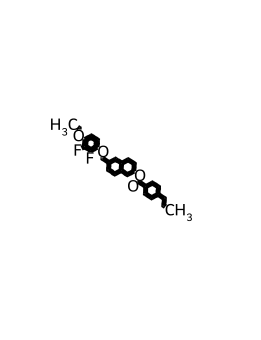 CCCC1CCC(C(=O)OC2CCC3CC(COc4ccc(OCC)c(F)c4F)CCC3C2)CC1